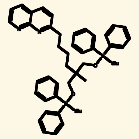 CC(CCCCc1ccc2cccnc2n1)(CO[Si](c1ccccc1)(c1ccccc1)C(C)(C)C)CO[Si](c1ccccc1)(c1ccccc1)C(C)(C)C